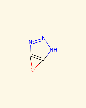 n1nc2c([nH]1)O2